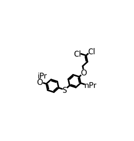 CCCc1cc(Sc2ccc(OC(C)C)cc2)ccc1OCC=C(Cl)Cl